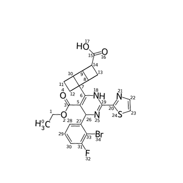 CCOC(=O)C1=C(C23C4C5C2C2C3C4C52C(=O)O)NC(c2nccs2)=NC1c1cccc(F)c1Br